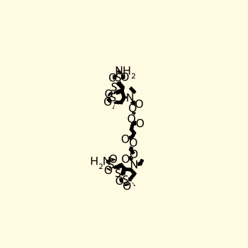 CCN(C(=O)OCOC(=O)CCC(=O)OCOC(=O)N(CC)[C@H]1C[C@H](C)S(=O)(=O)c2sc(S(N)(=O)=O)cc21)[C@H]1C[C@H](C)S(=O)(=O)c2sc(S(N)(=O)=O)cc21